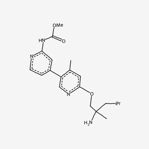 COC(=O)Nc1cc(-c2cnc(OCC(C)(N)CC(C)C)cc2C)ccn1